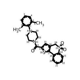 Cc1cccc(C)c1N1CCN(C(=O)c2cc3c(s2)-c2ccccc2S(=O)(=O)C3)CC1